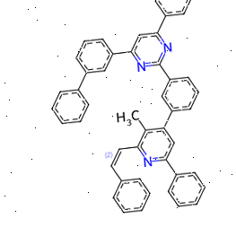 Cc1c(-c2cccc(-c3nc(-c4ccccc4)cc(-c4cccc(-c5ccccc5)c4)n3)c2)cc(-c2ccccc2)nc1/C=C\c1ccccc1